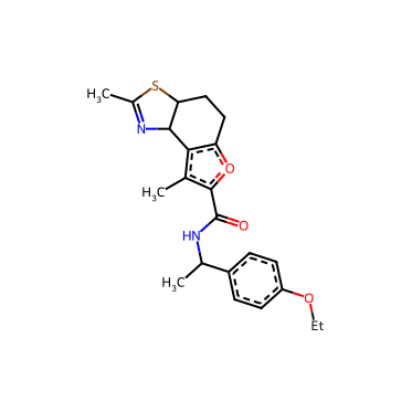 CCOc1ccc(C(C)NC(=O)c2oc3c(c2C)C2N=C(C)SC2CC3)cc1